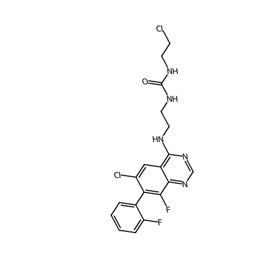 O=C(NCCCl)NCCNc1ncnc2c(F)c(-c3ccccc3F)c(Cl)cc12